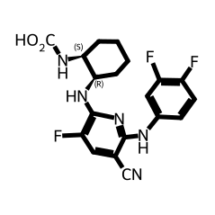 N#Cc1cc(F)c(N[C@@H]2CCCC[C@@H]2NC(=O)O)nc1Nc1ccc(F)c(F)c1